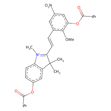 COc1c(/C=C/C2=[N+](C)c3ccc(OC(=O)C(C)C)cc3C2(C)C)cc([N+](=O)[O-])cc1OC(=O)C(C)C